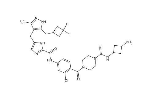 NC1CC(NC(=O)N2CCN(C(=O)c3ccc(NC(=O)c4ncc(Cc5c(C(F)(F)F)n[nH]c5CC5CC(F)(F)C5)[nH]4)cc3Cl)CC2)C1